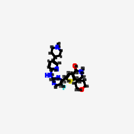 CN1CCC(c2ccc(Nc3ncc(F)c(-c4cc5c(s4)C4(CCOCC4)CN(C)C5=O)n3)nc2)CC1